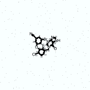 N#Cc1cc(Br)cc(Oc2c(Cl)ccc(Cn3cnc4nc[nH]c4c3=O)c2F)c1